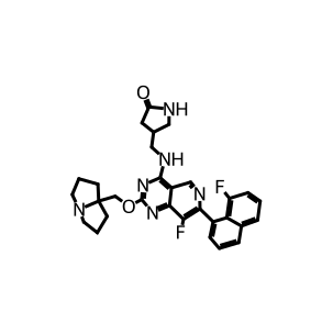 O=C1CC(CNc2nc(OCC34CCCN3CCC4)nc3c(F)c(-c4cccc5cccc(F)c45)ncc23)CN1